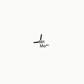 CNC.[Mo+4]